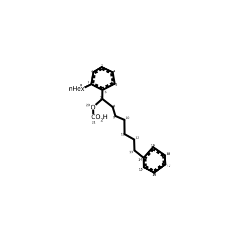 CCCCCCc1ccccc1C(CCCCCCc1ccccc1)OC(=O)O